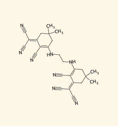 CC1(C)CC(NCCNC2=C(C#N)C(=C(C#N)C#N)CC(C)(C)C2)=C(C#N)C(=C(C#N)C#N)C1